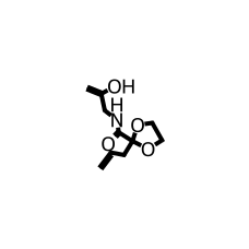 C=CCC1(C(=O)NCC(=C)O)OCCO1